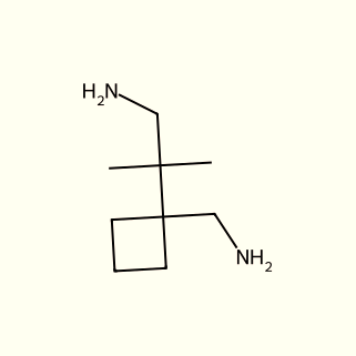 CC(C)(CN)C1(CN)CCC1